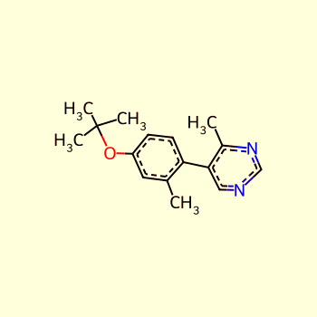 Cc1cc(OC(C)(C)C)ccc1-c1cncnc1C